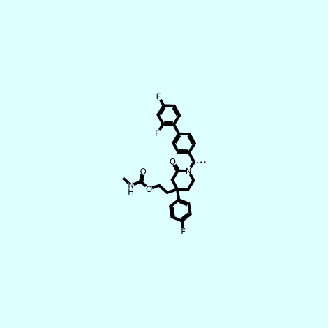 CNC(=O)OCCC1(c2ccc(F)cc2)CCN([C@@H](C)c2ccc(-c3ccc(F)cc3F)cc2)C(=O)C1